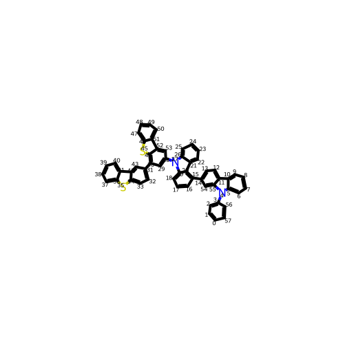 c1ccc(-n2c3ccccc3c3ccc(-c4cccc5c4c4ccccc4n5-c4cc(-c5ccc6sc7ccccc7c6c5)c5sc6ccccc6c5c4)cc32)cc1